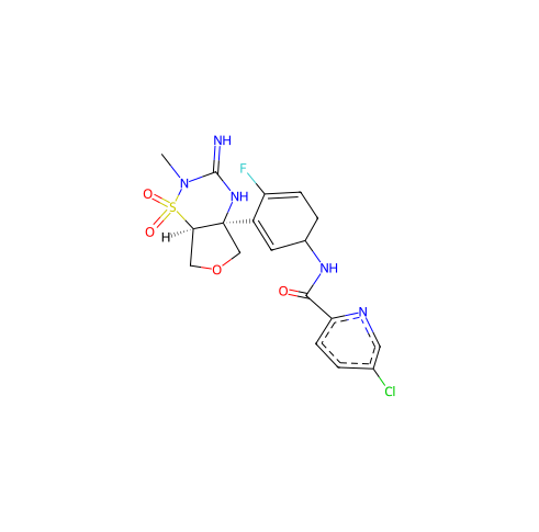 CN1C(=N)N[C@@]2(C3=CC(NC(=O)c4ccc(Cl)cn4)CC=C3F)COC[C@H]2S1(=O)=O